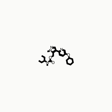 CCC(CC)N(C)C(=O)OCc1c(-c2ccc(OC3CCCCC3)cn2)cnn1C